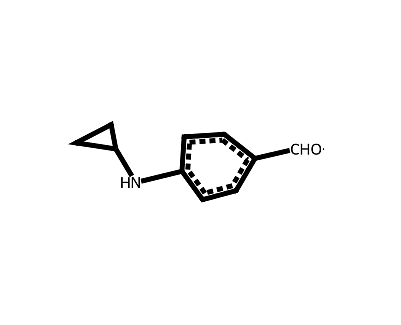 O=[C]c1ccc(NC2CC2)cc1